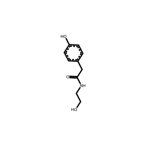 O=C(Cc1ccc(O)cc1)NCCO